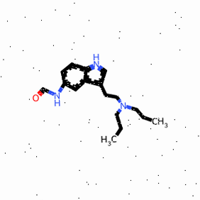 CCCN(CCC)CCc1c[nH]c2ccc(NC=O)cc12